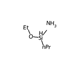 CCC[SiH](C)OCC.N